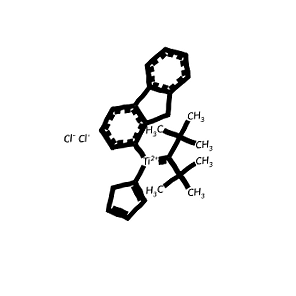 CC(C)(C)[C](=[Ti+2]([C]1=CC=CC1)[c]1cccc2c1Cc1ccccc1-2)C(C)(C)C.[Cl-].[Cl-]